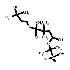 CC(CC(C)(C)C(C)(C)OCCC(C)(C)O)OC(C)(C)P(=O)(O)O